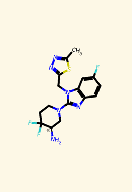 Cc1nnc(Cn2c(N3CCC(F)(F)[C@H](N)C3)nc3ccc(F)cc32)s1